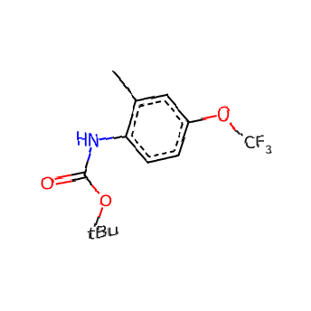 Cc1cc(OC(F)(F)F)ccc1NC(=O)OC(C)(C)C